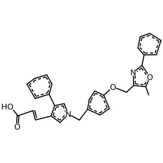 Cc1oc(-c2ccccc2)nc1COc1ccc(Cn2cc(/C=C/C(=O)O)c(-c3ccccc3)c2)cc1